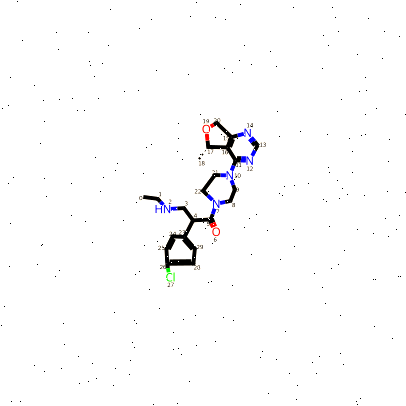 CCNCC(C(=O)N1CCN(c2ncnc3c2[C@H](C)OC3)CC1)c1ccc(Cl)cc1